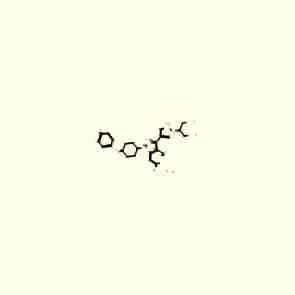 CNc1cc2c(cn1)c(-c1cnn(C(CO)CO)c1)nn2C1CCC(Oc2ccc(F)cc2)CC1